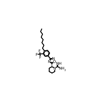 CCCCCCCCc1ccc(-c2noc([C@@H]3CCCCN3C(=N)N)n2)cc1C(F)(F)F